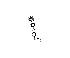 N[C@H]1CC[C@H](CNc2ccc(-c3csnn3)cc2)CC1